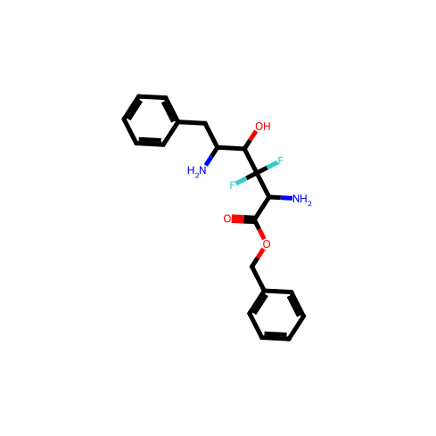 NC(Cc1ccccc1)C(O)C(F)(F)C(N)C(=O)OCc1ccccc1